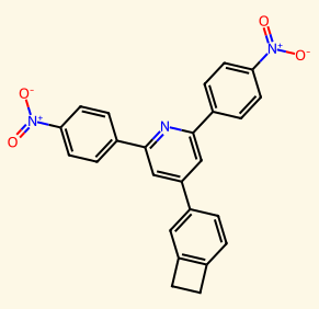 O=[N+]([O-])c1ccc(-c2cc(-c3ccc4c(c3)CC4)cc(-c3ccc([N+](=O)[O-])cc3)n2)cc1